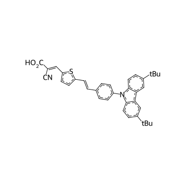 CC(C)(C)c1ccc2c(c1)c1cc(C(C)(C)C)ccc1n2-c1ccc(/C=C/c2ccc(/C=C(\C#N)C(=O)O)s2)cc1